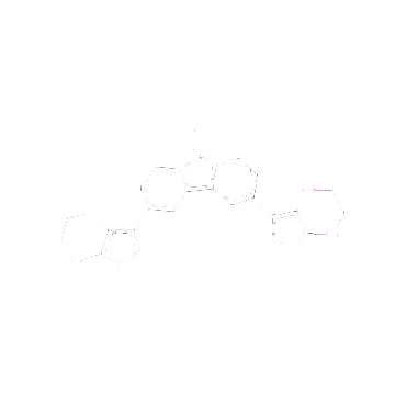 Cn1c2ccc(-c3csc4c3OCCO4)cc2c2cc(-c3csc4c3OCCO4)ccc21